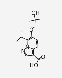 CC(C)c1c(OCC(C)(C)O)ccc2c(C(=O)O)cnn12